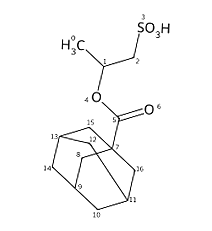 CC(CS(=O)(=O)O)OC(=O)C12CC3CC(CC(C3)C1)C2